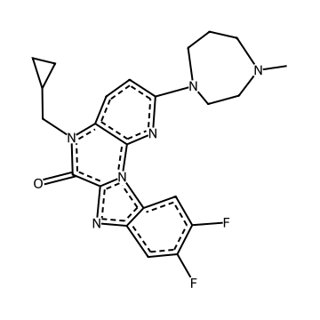 CN1CCCN(c2ccc3c(n2)n2c(nc4cc(F)c(F)cc42)c(=O)n3CC2CC2)CC1